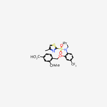 COc1cc(C(=O)O)ccc1COc1cc(C(F)(F)F)ccc1N(CC(C)C)S(=O)(=O)c1nc(C)cs1